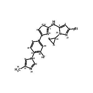 CCc1cc(Nc2nc(-c3ccc(-n4cnc(C)c4)c(F)c3)cs2)n(C2CC2)n1